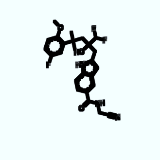 COc1ccc(F)cc1C(C)(C)CC(O)(Cc1cc2cc(C(=O)NCC#N)ccc2[nH]1)C(F)F